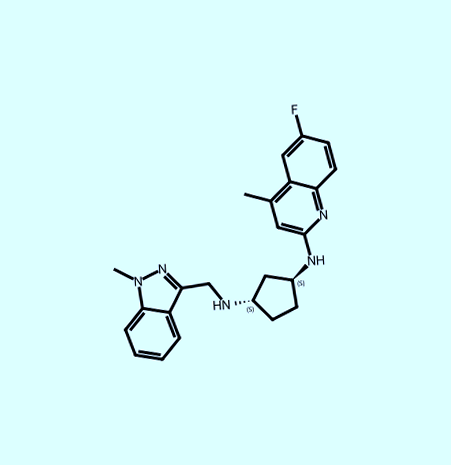 Cc1cc(N[C@H]2CC[C@H](NCc3nn(C)c4ccccc34)C2)nc2ccc(F)cc12